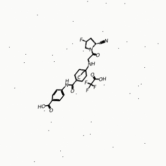 N#C[C@@H]1C[C@H](F)CN1C(=O)CNC12CCC(C(=O)Nc3ccc(C(=O)O)cc3)(CC1)CC2.O=C(O)C(F)(F)F